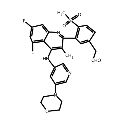 Cc1c(-c2cc(CC=O)ccc2S(C)(=O)=O)nc2cc(F)cc(F)c2c1Nc1cncc(N2CCOCC2)c1